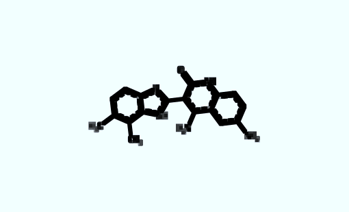 Cc1ccc2nc(-c3c(N)c4cc(N)ccc4[nH]c3=O)[nH]c2c1C